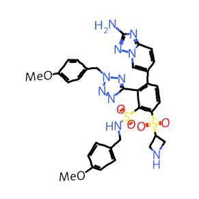 COc1ccc(CNS(=O)(=O)c2c(S(=O)(=O)C3CNC3)ccc(-c3ccc4nc(N)nn4c3)c2-c2nnn(Cc3ccc(OC)cc3)n2)cc1